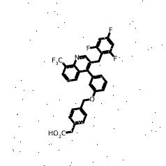 O=C(O)Cc1ccc(COc2cccc(-c3c(Cc4c(F)cc(F)cc4F)cnc4c(C(F)(F)F)cccc34)c2)cc1